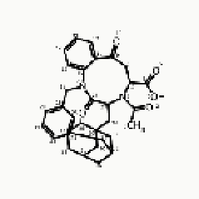 CC(=O)N1C(C(=O)O)CC(=O)c2ccccc2N(Cc2ccccc2)C(=O)C1CC12CC3CC(CC(C3)C1)C2